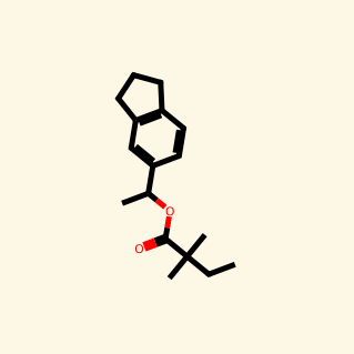 CCC(C)(C)C(=O)OC(C)c1ccc2c(c1)CCC2